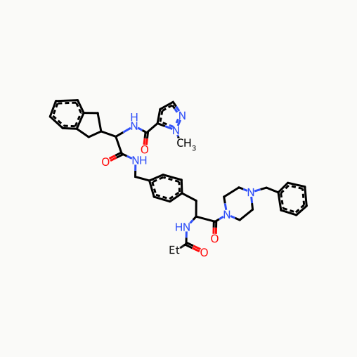 CCC(=O)NC(Cc1ccc(CNC(=O)C(NC(=O)c2ccnn2C)C2Cc3ccccc3C2)cc1)C(=O)N1CCN(Cc2ccccc2)CC1